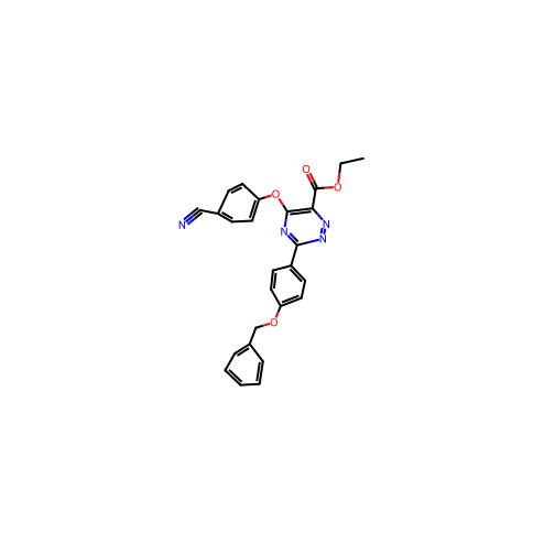 CCOC(=O)c1nnc(-c2ccc(OCc3ccccc3)cc2)nc1Oc1ccc(C#N)cc1